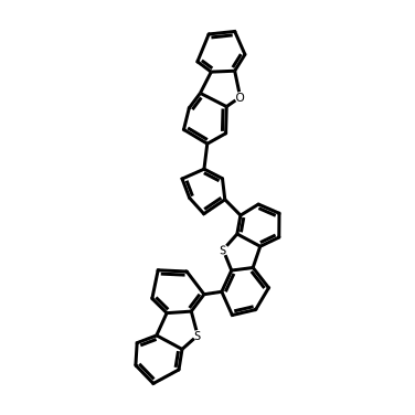 c1cc(-c2ccc3c(c2)oc2ccccc23)cc(-c2cccc3c2sc2c(-c4cccc5c4sc4ccccc45)cccc23)c1